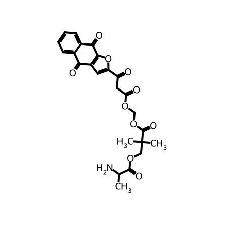 CC(N)C(=O)OCC(C)(C)C(=O)OCOC(=O)CC(=O)c1cc2c(o1)C(=O)c1ccccc1C2=O